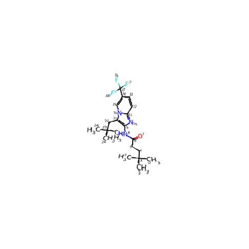 CC(C)(C)CCC(=O)Nc1nc2ccc(C(F)(F)F)cn2c1CC(C)(C)C